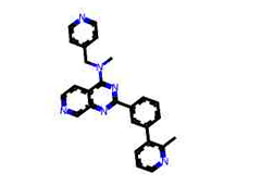 Cc1ncccc1-c1cccc(-c2nc(N(C)Cc3ccncc3)c3ccncc3n2)c1